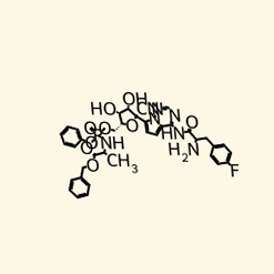 CC(NP(=O)(OC[C@H]1O[C@@](C#N)(c2ccc3c(NC(=O)C(N)Cc4ccc(F)cc4)ncnn23)[C@H](O)[C@@H]1O)Oc1ccccc1)C(=O)OCc1ccccc1